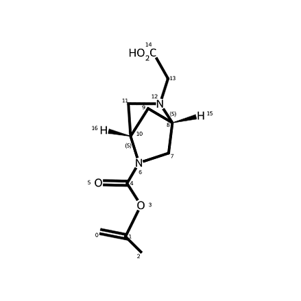 C=C(C)OC(=O)N1C[C@@H]2C[C@H]1CN2CC(=O)O